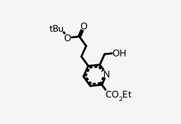 CCOC(=O)c1ccc(CCC(=O)OC(C)(C)C)c(CO)n1